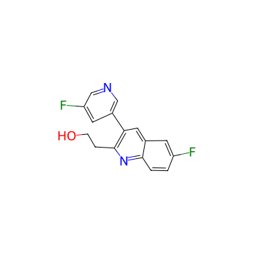 OCCc1nc2ccc(F)cc2cc1-c1cncc(F)c1